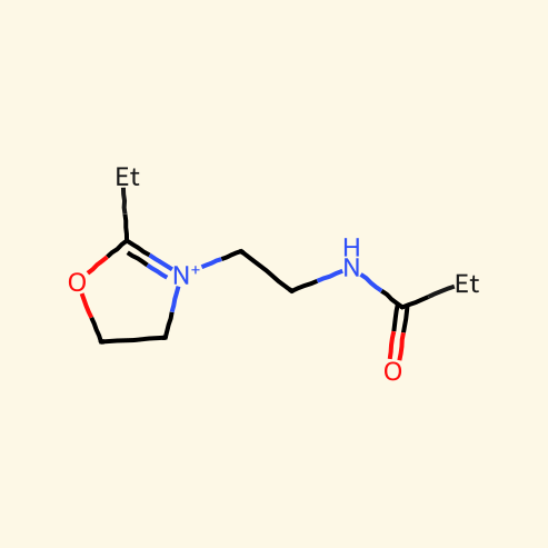 CCC(=O)NCC[N+]1=C(CC)OCC1